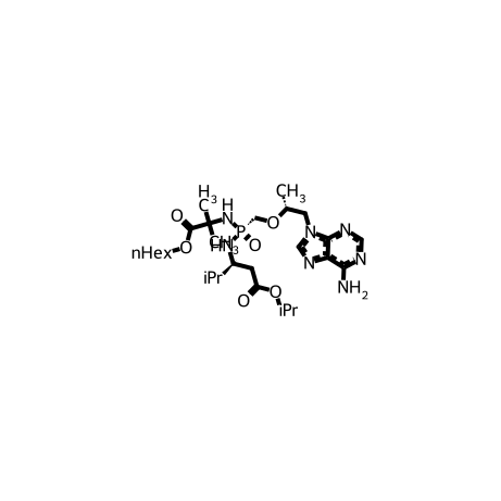 CCCCCCOC(=O)C(C)(C)N[P@](=O)(CO[C@H](C)Cn1cnc2c(N)ncnc21)N[C@@H](CC(=O)OC(C)C)C(C)C